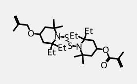 C=C(C)COC1CC(C)(C)N(SSN2C(C)(C)CC(OC(=O)C(=C)C)CC2(CC)CC)C(CC)(CC)C1